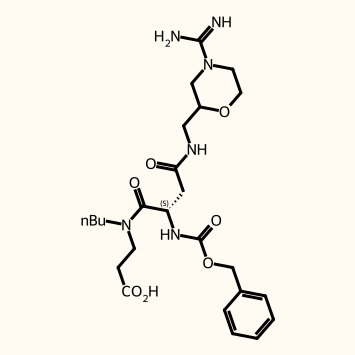 CCCCN(CCC(=O)O)C(=O)[C@H](CC(=O)NCC1CN(C(=N)N)CCO1)NC(=O)OCc1ccccc1